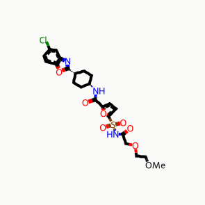 COCCOCC(=O)NS(=O)(=O)c1ccc(C(=O)N[C@H]2CC[C@@H](c3nc4cc(Cl)ccc4o3)CC2)o1